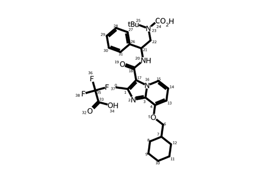 Cc1nc2c(OCC3CCCCC3)cccn2c1C(=O)NC(CN(C(=O)O)C(C)(C)C)c1ccccc1.O=C(O)C(F)(F)F